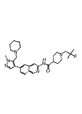 Cn1ncc(-c2ccc3cnc(NC(=O)C4CCN(CC(C)(C)F)CC4)cc3c2)c1CN1CCCCC1